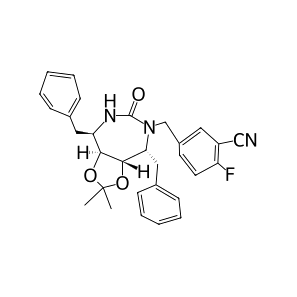 CC1(C)O[C@@H]2[C@@H](O1)[C@@H](Cc1ccccc1)NC(=O)N(Cc1ccc(F)c(C#N)c1)[C@@H]2Cc1ccccc1